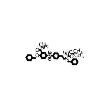 CNC(=O)c1cc(S(=O)(=O)c2ccc(CCN(Cc3ccccc3)C(=O)OC(C)(C)C)cc2)ccc1OCc1ccccc1